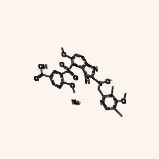 COc1ccc(C(=O)O)cc1S(=O)(=O)c1c(OC)ccc2nc([S+]([O-])Cc3ncc(C)c(OC)c3C)[nH]c12.[Na]